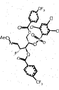 CON=C[C@@H](F)[C@H](OC(=O)c1ccc(C(F)(F)F)cc1)[C@@H](COC(=O)c1ccc(C(F)(F)F)cc1)OS(=O)(=O)c1cc(Cl)c(Cl)cc1Cl